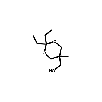 CCC1(CC)OCC(C)(CO)CO1